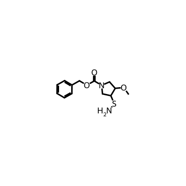 COC1CN(C(=O)OCc2ccccc2)CC1SN